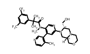 Cc1ccncc1-c1cc(N2C[C@H]3COCCN3C[C@H]2CO)ncc1N(C)C(=O)C(C)(C)c1cc(C(F)(F)F)cc(C(F)(F)F)c1